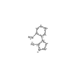 Nc1ccncc1-n1cnnc1S